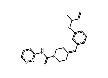 C=CC(C)Oc1cccc(C=C2CCN(C(=O)Nc3cccnn3)CC2)c1